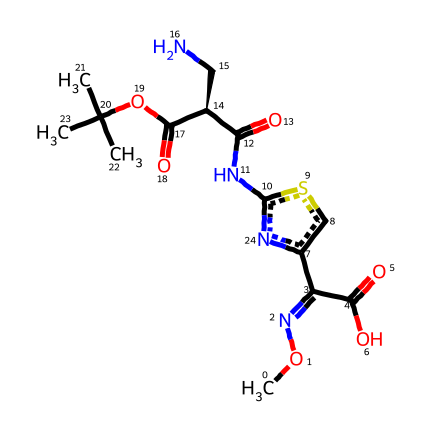 CO/N=C(\C(=O)O)c1csc(NC(=O)[C@H](CN)C(=O)OC(C)(C)C)n1